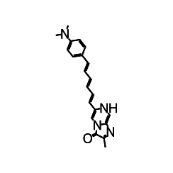 Cc1nc2c[nH]c(/C=C/C=C/C=C/c3ccc(N(C)C)cc3)cn-2c1=O